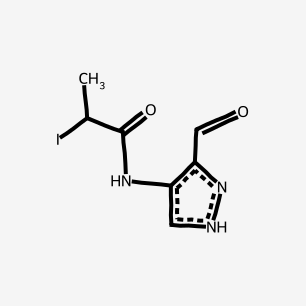 CC(I)C(=O)Nc1c[nH]nc1C=O